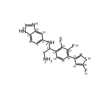 NCC(Nc1ccc2[nH]cnc2c1)c1ccc(-c2csc(F)c2)c(F)c1F